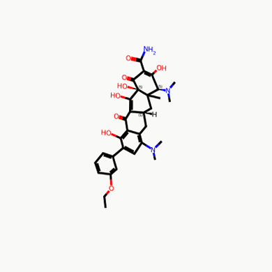 CCOc1cccc(-c2cc(N(C)C)c3c(c2O)C(=O)C2=C(O)[C@]4(O)C(=O)C(C(N)=O)=C(O)[C@@H](N(C)C)C4(C)C[C@@H]2C3)c1